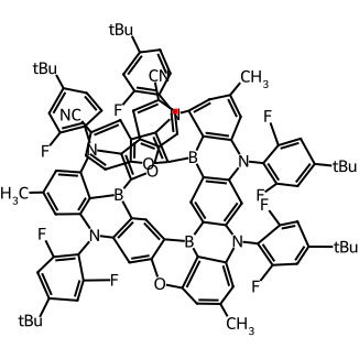 Cc1cc2c3c(c1)N(c1c(F)cc(C(C)(C)C)cc1F)c1cc4c(cc1B3c1cc3c(cc1O2)N(c1c(F)cc(C(C)(C)C)cc1F)c1cc(C)cc2c1B3c1oc3ccc(C#N)cc3c1N2c1ccc(C(C)(C)C)cc1F)B1c2oc3ccc(C#N)cc3c2N(c2ccc(C(C)(C)C)cc2F)c2cc(C)cc(c21)N4c1c(F)cc(C(C)(C)C)cc1F